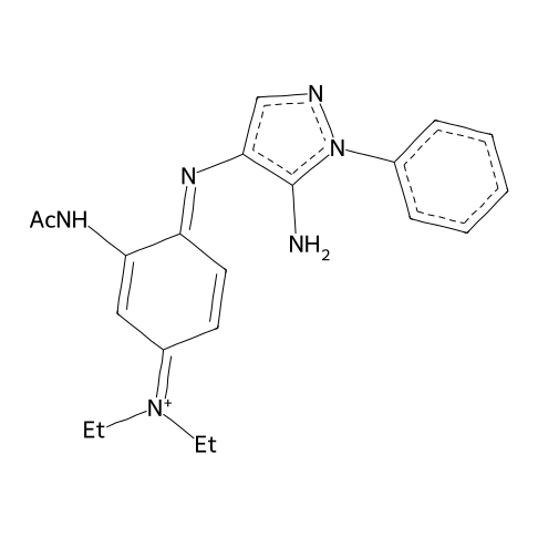 CC[N+](CC)=C1C=CC(=Nc2cnn(-c3ccccc3)c2N)C(NC(C)=O)=C1